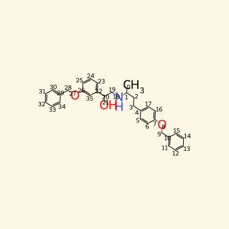 CC(CCc1ccc(OCc2ccccc2)cc1)NCC(O)c1cccc(OCc2ccccc2)c1